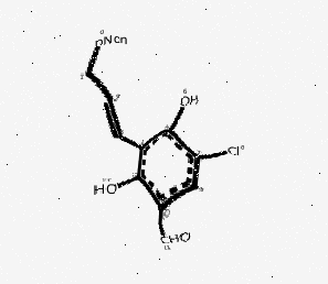 CCCCCCCCCCC=Cc1c(O)c(Cl)cc(C=O)c1O